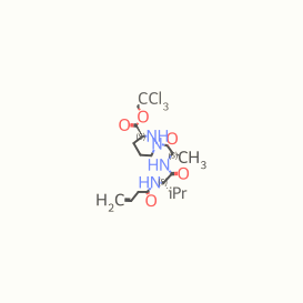 C=CCC(=O)N[C@H](C(=O)N[C@@H](C)C(=O)N1CCC[C@@H](C(=O)OCC(Cl)(Cl)Cl)N1)C(C)C